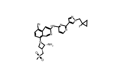 CC(C)c1ccc(N2C[C@H](CS(C)(=O)=O)[C@H]2N)c2cnc(Nc3ccnc(-c4cnn(CC5(F)CC5)c4)n3)cc12